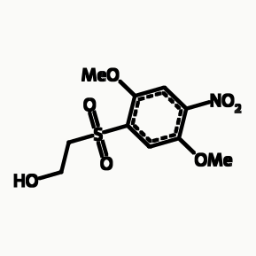 COc1cc(S(=O)(=O)CCO)c(OC)cc1[N+](=O)[O-]